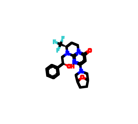 O=c1cc(N2CC3CCC(C2)O3)nc2n1CC[C@@H](C(F)(F)F)N2C[C@H](O)c1ccccc1